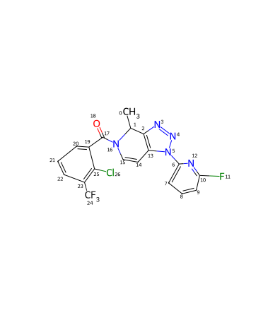 CC1c2nnn(-c3cccc(F)n3)c2C=CN1C(=O)c1cccc(C(F)(F)F)c1Cl